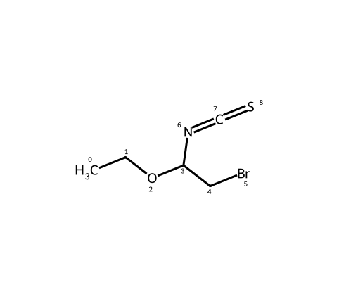 CCOC(CBr)N=C=S